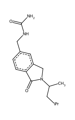 CC(C)CC(C)N1Cc2cc(CNC(N)=O)ccc2C1=O